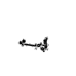 CO[C@@H]1COCC[C@@H]1N[C@@H]1CC[C@](CCCNC(=O)C2CCC(NC(=O)CCOCCOCCOCCNC(=O)[C@H]3CC(=O)N(C)[C@@H]3c3cccnc3)CC2)(C(=O)N2CCc3ncc(C(F)(F)F)cc3C2)C1